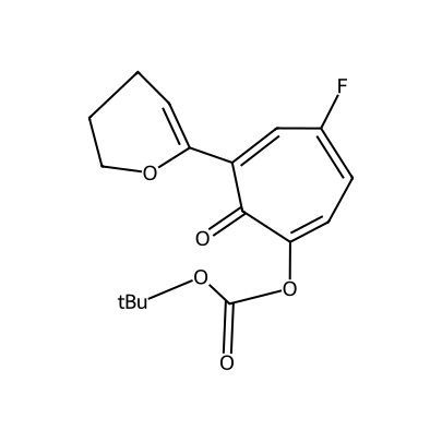 CC(C)(C)OC(=O)Oc1ccc(F)cc(C2=CCCCO2)c1=O